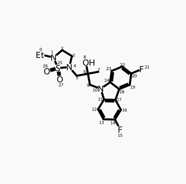 CCN1CCN(CC(C)(O)Cn2c3ccc(F)cc3c3cc(F)ccc32)S1(=O)=O